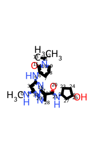 CNc1cc(Nc2cccn(C(C)C)c2=O)nc2c(C(=O)N[C@H]3CC[C@@H](O)C3)cnn12